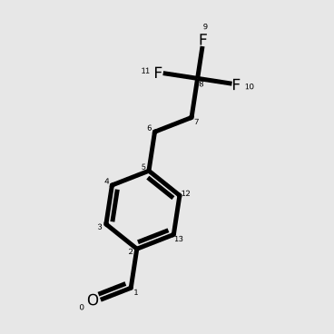 O=Cc1ccc(CCC(F)(F)F)cc1